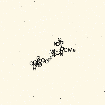 COc1cc(-c2cn(C)c(=O)c3cnccc23)cc(OC)c1CN(C)CCCCNC1CC2(C1)CC(Oc1ccc3c(c1)C(=O)N(C1CCC(=O)NC1=O)C3=O)C2